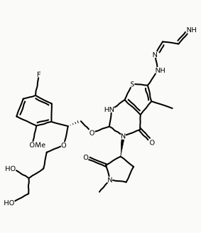 COc1ccc(F)cc1[C@H](COC1Nc2sc(N/N=C\C=N)c(C)c2C(=O)N1[C@H]1CCN(C)C1=O)OCCC(O)CO